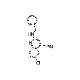 N#Cc1cc(NCc2ccccn2)nc2ccc(Cl)cc12